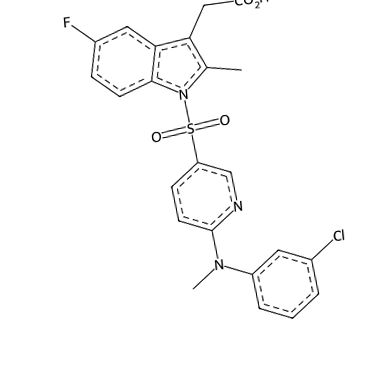 Cc1c(CC(=O)O)c2cc(F)ccc2n1S(=O)(=O)c1ccc(N(C)c2cccc(Cl)c2)nc1